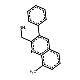 NCc1nc2c(C(F)(F)F)cccc2cc1-c1ccccc1